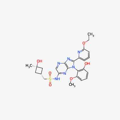 CCOC1=NC(c2nc3ncc(NS(=O)(=O)C[C@H]4C[C@](C)(O)C4)nc3n2-c2c(O)cccc2OC)=C=C=C1